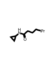 CC(C)CCCC(=O)NC1CC1